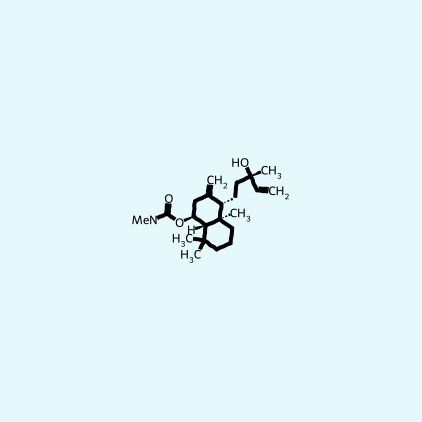 C=C[C@@](C)(O)CC[C@H]1C(=C)C[C@H](OC(=O)NC)[C@H]2C(C)(C)CCC[C@]12C